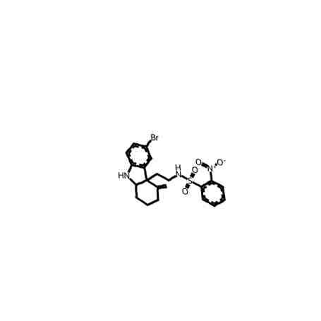 C=C1CCCC2Nc3ccc(Br)cc3C12CCNS(=O)(=O)c1ccccc1[N+](=O)[O-]